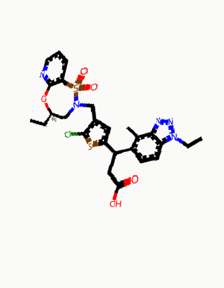 CC[C@@H]1CN(Cc2cc(C(CC(=O)O)c3ccc4c(nnn4CC)c3C)sc2Cl)S(=O)(=O)c2cccnc2O1